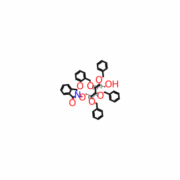 O=C1c2ccccc2C(=O)N1OC[C@@H](OCc1ccccc1)[C@@H](OCc1ccccc1)[C@H](OCc1ccccc1)[C@@H](CO)OCc1ccccc1